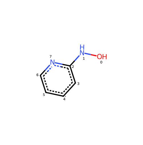 ONc1c[c]ccn1